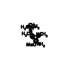 C=N/C(=C\N=C(/C)N1CCN(c2cc(OC)c(N)cc2-c2cnn(C)c2)CC1)N(C)C